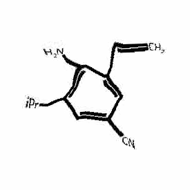 C=Cc1cc(C#N)cc(C(C)C)c1N